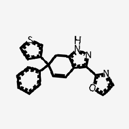 C1=CC(c2ccccc2)(c2ccsc2)Cc2[nH]nc(-c3ncco3)c21